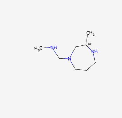 CNCN1CCCN[C@@H](C)C1